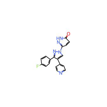 O=c1ccc(-n2cc(-c3ccncc3)c(-c3ccc(F)cc3)n2)n[nH]1